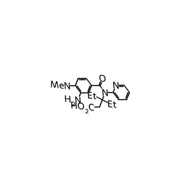 CCC(CC)(CC(=O)O)N(C(=O)c1ccc(NC)c(N)c1)c1ccccn1